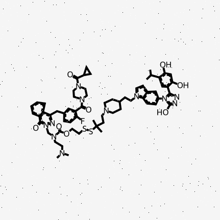 CC(C)c1cc(-c2nnc(O)n2-c2ccc3c(ccn3CCC3CCN(CCC(C)(C)SSCCOC(=O)N(CCN(C)C)Cn4nc(Cc5ccc(F)c(C(=O)N6CCN(C(=O)C7CC7)CC6)c5)c5ccccc5c4=O)CC3)c2)c(O)cc1O